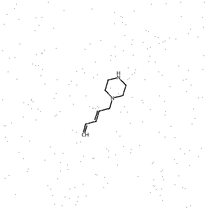 [CH]=CC=CCN1CCNCC1